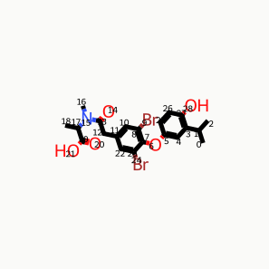 CC(C)c1cc(Oc2c(Br)cc(CC(=O)N(C)C(C)C(=O)O)cc2Br)ccc1O